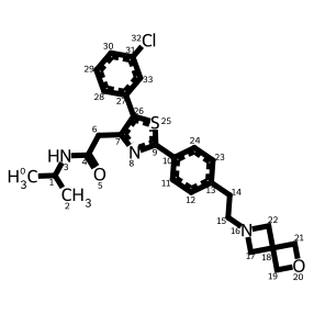 CC(C)NC(=O)Cc1nc(-c2ccc(CCN3CC4(COC4)C3)cc2)sc1-c1cccc(Cl)c1